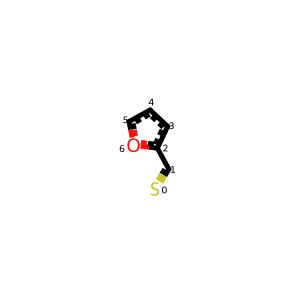 S=Cc1ccco1